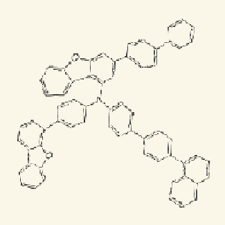 c1ccc(-c2ccc(-c3cc(N(c4ccc(-c5ccc(-c6cccc7ccccc67)cc5)cc4)c4ccc(-c5cccc6c5oc5ccccc56)cc4)c4c(c3)oc3ccccc34)cc2)cc1